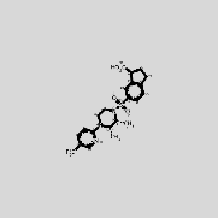 C[C@@H]1[C@H](C)N(c2ccc(C(F)(F)F)cn2)CCN1S(=O)(=O)c1ccc2c(c1)C(C(=O)O)CC2